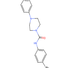 CC(C)(C)c1ccc(NC(=O)N2CCN(c3ccccc3)CC2)cc1